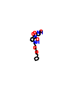 O=C1CCC(N2C(=O)c3cccc(NCCOCCOCCC4CCCCC4)c3C2=O)C(=O)N1